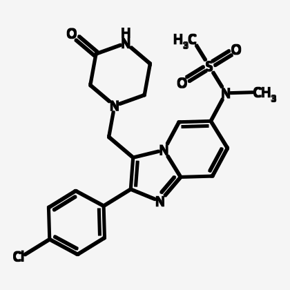 CN(c1ccc2nc(-c3ccc(Cl)cc3)c(CN3CCNC(=O)C3)n2c1)S(C)(=O)=O